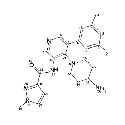 Cc1cc(C)cc(-c2cncc(NC(=O)c3ccn(C)n3)c2N2CCC(N)CC2)c1